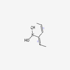 C/C=C\C(=C/C)N(O)O